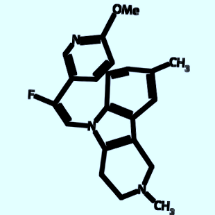 COc1ccc(/C(F)=C\n2c3c(c4cc(C)ccc42)CN(C)CC3)cn1